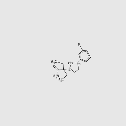 CCC(CC)(C(N)=O)[C@H]1CC[C@@H](c2cccc(F)c2)N1